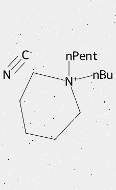 CCCCC[N+]1(CCCC)CCCCC1.[C-]#N